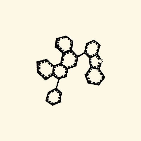 c1ccc(-c2cc3cc(-c4cccc5sc6ccccc6c45)c4ccccc4c3c3ccccc23)cc1